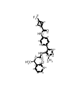 C[C@@H](OC(=O)Nc1c(-c2ccc(NC(=O)C34CC(C(F)(F)F)(C3)C4)cn2)nnn1C)c1cccnc1Cl